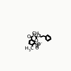 Cc1ccc(C(=O)N(C)C(=O)OCCc2ccccc2)cc1[N+](=O)[O-]